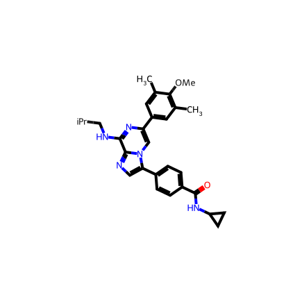 COc1c(C)cc(-c2cn3c(-c4ccc(C(=O)NC5CC5)cc4)cnc3c(NCC(C)C)n2)cc1C